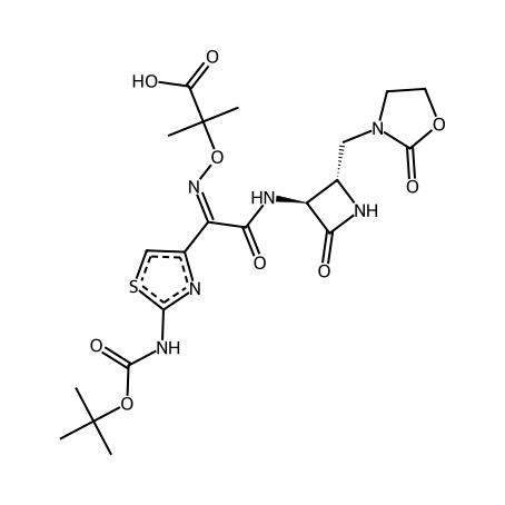 CC(C)(C)OC(=O)Nc1nc(C(=NOC(C)(C)C(=O)O)C(=O)N[C@@H]2C(=O)N[C@H]2CN2CCOC2=O)cs1